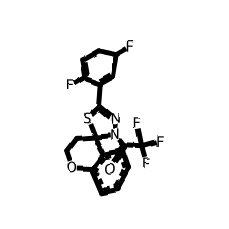 O=C(N1N=C(C2=CC(F)CC=C2F)SC12CCOc1ccccc12)C(F)(F)F